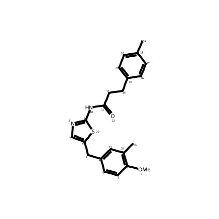 COc1ccc(Cc2cnc(NC(=O)CCc3ccc(C)cc3)s2)cc1C